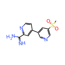 CS(=O)(=O)c1cncc(-c2ccnc(C(=N)N)c2)c1